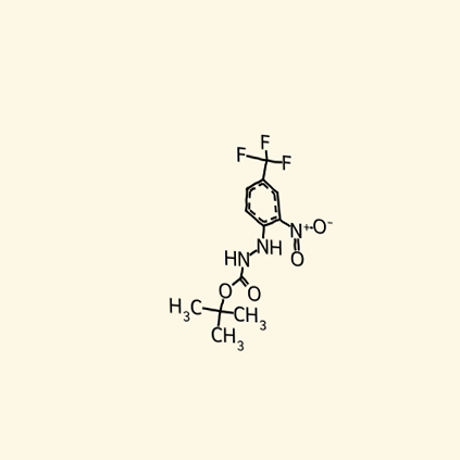 CC(C)(C)OC(=O)NNc1ccc(C(F)(F)F)cc1[N+](=O)[O-]